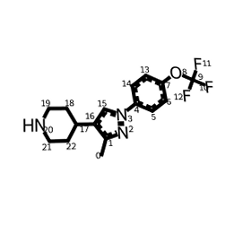 Cc1nn(-c2ccc(OC(F)(F)F)cc2)cc1C1CCNCC1